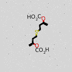 C=C(CCSCCC(=C)OC(=O)O)OC(=O)O